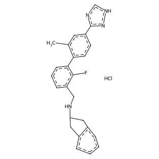 Cc1cc(-c2nc[nH]n2)ccc1-c1cccc(CNC2Cc3ccccc3C2)c1F.Cl